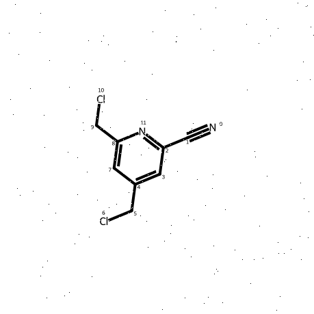 N#Cc1cc(CCl)cc(CCl)n1